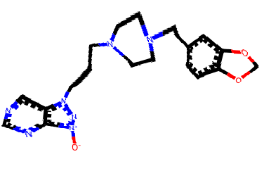 [O-][n+]1nn(CCCN2CCN(Cc3ccc4c(c3)OCO4)CC2)c2cncnc21